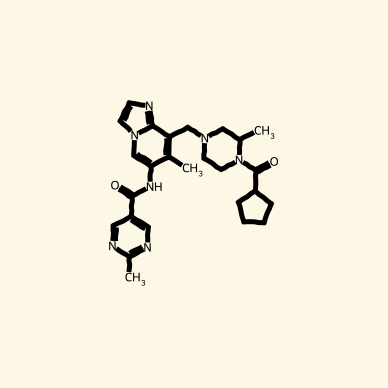 Cc1ncc(C(=O)Nc2cn3ccnc3c(CN3CCN(C(=O)C4CCCC4)C(C)C3)c2C)cn1